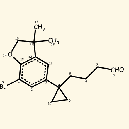 CC(C)(C)c1cc(C2(CCCC=O)CC2)cc2c1OCC2(C)C